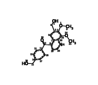 COc1c(CO)cc2c(C(=O)c3ccc(CO)cc3)ccnc2c1OC